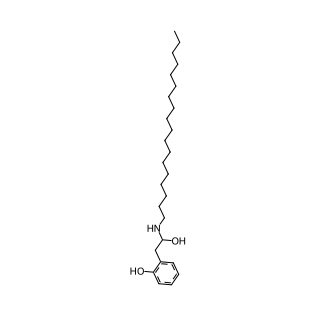 CCCCCCCCCCCCCCCCCCNC(O)Cc1ccccc1O